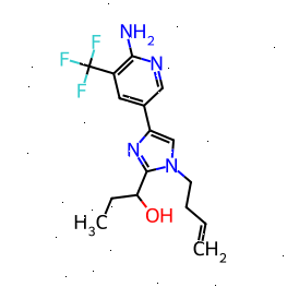 C=CCCn1cc(-c2cnc(N)c(C(F)(F)F)c2)nc1C(O)CC